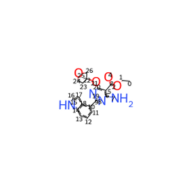 CCOC(=O)c1c(N)nc(-c2cccc3[nH]ccc23)nc1O[C@H]1CCOC1